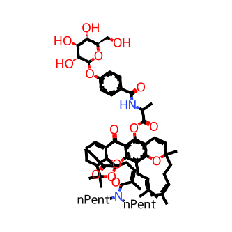 CCCCCN(CCCCC)C(=O)/C(C)=C\CC12OC(C)(C)C3CC(C=C4C(=O)c5c(OC(=O)C(C)NC(=O)c6ccc(O[C@@H]7O[C@H](CO)[C@@H](O)[C@H](O)[C@H]7O)cc6)c6c(c(CC=C(C)C)c5OC431)OC(C)(CCC=C(C)C)C=C6)C2=O